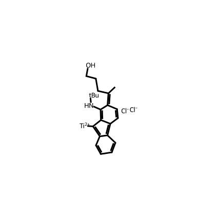 CC(CCCO)=c1ccc2c(c1NC(C)(C)C)[C]([Ti+2])=c1ccccc1=2.[Cl-].[Cl-]